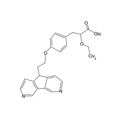 CCOC(Cc1ccc(OCCC2c3ccncc3-c3cnccc32)cc1)C(=O)O